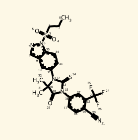 CCCS(=O)(=O)n1ncc2cc(N3C(=S)N(c4ccc(C#N)c(C(F)(F)F)c4)C(=O)C3(C)C)ccc21